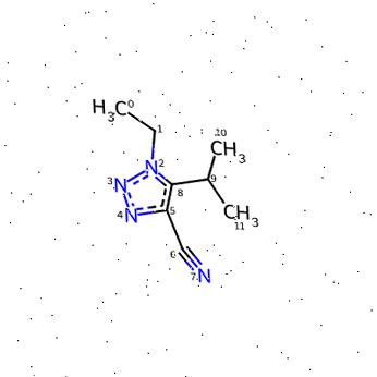 CCn1nnc(C#N)c1C(C)C